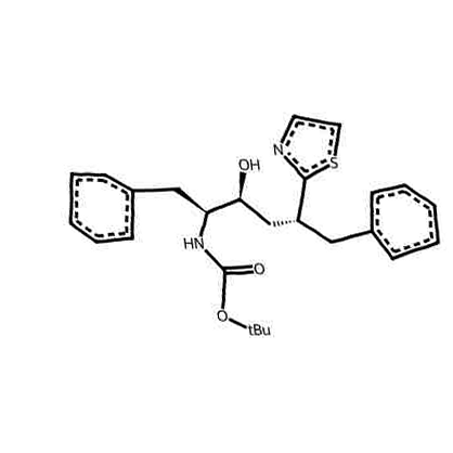 CC(C)(C)OC(=O)N[C@@H](Cc1ccccc1)[C@@H](O)C[C@@H](Cc1ccccc1)c1nccs1